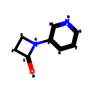 O=C1CCN1c1c[c]cnc1